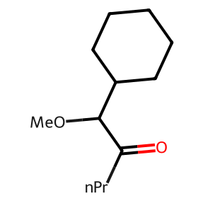 CCCC(=O)C(OC)C1CCCCC1